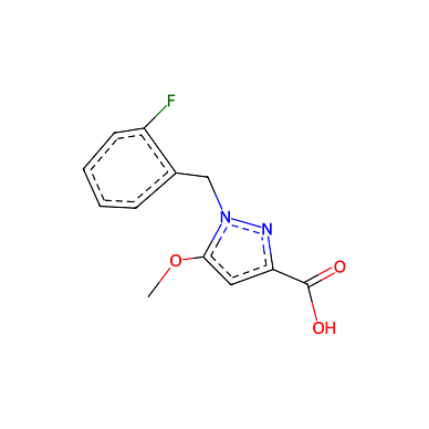 COc1cc(C(=O)O)nn1Cc1ccccc1F